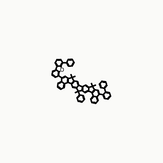 CC1(C)c2cc3c(cc2-c2c1cc(-c1ccccc1-c1ccccc1)c1ccccc21)C(C)(c1ccccc1)c1cc2c(cc1-3)C(C)(C)c1cc(-c3cccc4c3oc3c(-c5ccccc5)cccc34)c3ccccc3c1-2